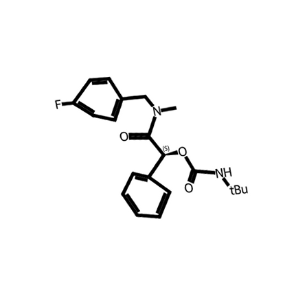 CN(Cc1ccc(F)cc1)C(=O)[C@@H](OC(=O)NC(C)(C)C)c1ccccc1